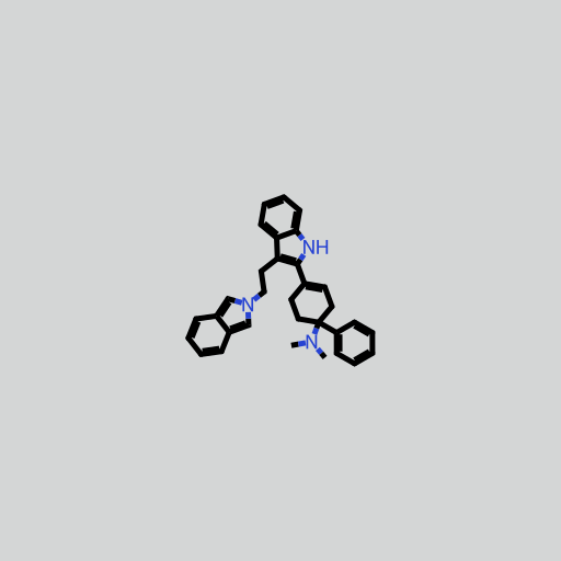 CN(C)C1(c2ccccc2)CC=C(c2[nH]c3ccccc3c2CCn2cc3ccccc3c2)CC1